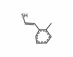 Cc1ccccc1C=CS